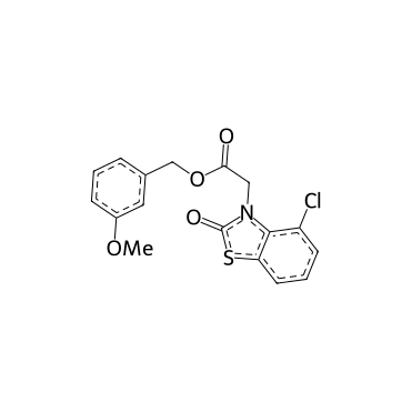 COc1cccc(COC(=O)Cn2c(=O)sc3cccc(Cl)c32)c1